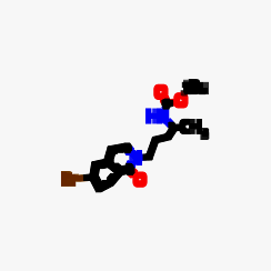 CC(CCCn1ccc2cc(Br)ccc2c1=O)NC(=O)OC(C)(C)C